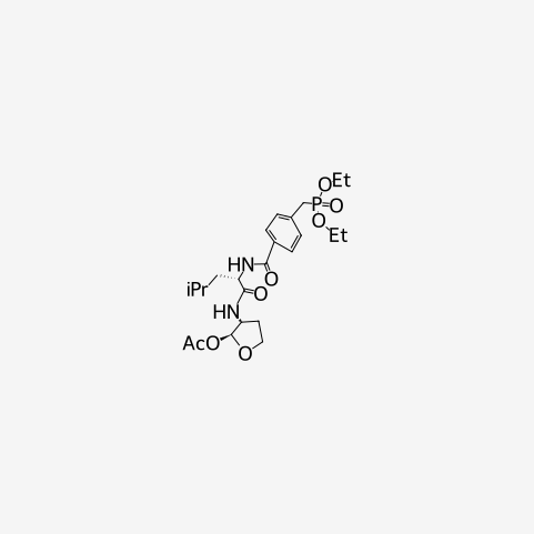 CCOP(=O)(Cc1ccc(C(=O)N[C@@H](CC(C)C)C(=O)N[C@H]2CCO[C@H]2OC(C)=O)cc1)OCC